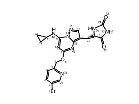 CCc1ccc(COc2nc(NC3CC3)n3ncc(/C=C4\NC(=O)NC4=O)c3n2)nc1